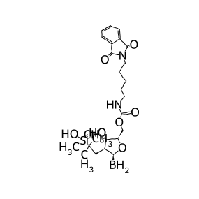 B[C@@H]1O[C@H](COC(=O)NCCCCCN2C(=O)c3ccccc3C2=O)C(O)[C@@H]1CC(C)(C)[Si](C)(C)O